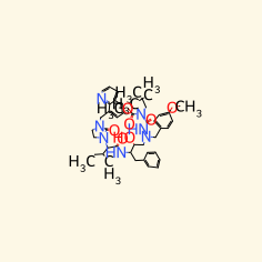 CCC(C)C(C(=O)NC(Cc1ccccc1)C(O)CN(Cc1ccc(OC)cc1)NC(=O)N(CC(C)(C)C)C(=O)OC)N1CCN(Cc2cccc3cccnc23)C1=O